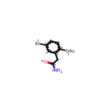 CCc1ccc(OC(C)=O)c(CC(N)=O)c1